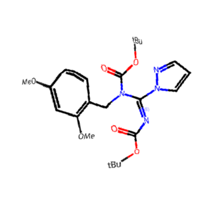 COc1ccc(CN(C(=O)OC(C)(C)C)/C(=N\C(=O)OC(C)(C)C)n2cccn2)c(OC)c1